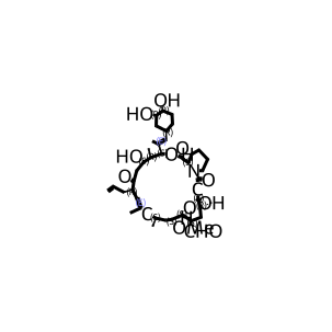 C=CC[C@@H]1/C=C(\C)C[C@H](C)C[C@H](OC)[C@H]2O[C@@](O)(CC(=O)N3CCCC[C@H]3C(=O)O[C@H](/C(C)=C/[C@@H]3CC[C@@H](O)[C@H](O)C3)[C@H](C)[C@@H](O)CC1=O)[C@H](C)C[C@@H]2C=O